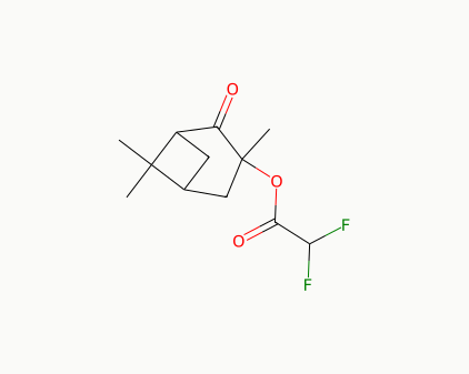 CC1(OC(=O)C(F)F)CC2CC(C1=O)C2(C)C